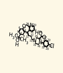 CC(C)(O)C1C=CC2=C(C1)/C(=C/CCN1CCN(c3ccc(Cl)cc3)C(C(=O)O)C1)c1cccnc1CO2